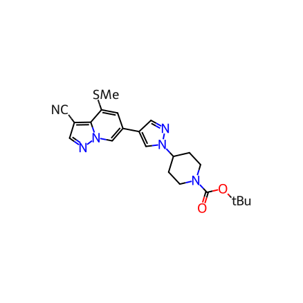 CSc1cc(-c2cnn(C3CCN(C(=O)OC(C)(C)C)CC3)c2)cn2ncc(C#N)c12